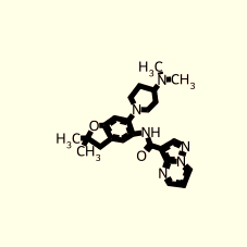 CN(C)C1CCN(c2cc3c(cc2NC(=O)c2cnn4cccnc24)CC(C)(C)O3)CC1